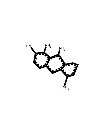 Nc1ccc2cc3c(N)cccc3c(N)c2c1N